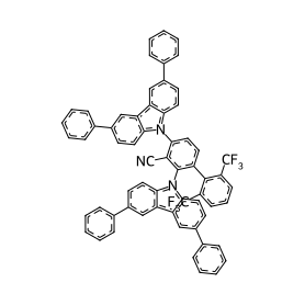 N#Cc1c(-n2c3ccc(-c4ccccc4)cc3c3cc(-c4ccccc4)ccc32)ccc(-c2c(C(F)(F)F)cccc2C(F)(F)F)c1-n1c2ccc(-c3ccccc3)cc2c2cc(-c3ccccc3)ccc21